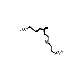 C=C(CCCS(=O)(=O)O)CCNCCS(=O)(=O)O